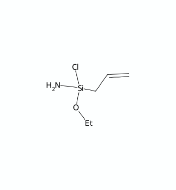 C=CC[Si](N)(Cl)OCC